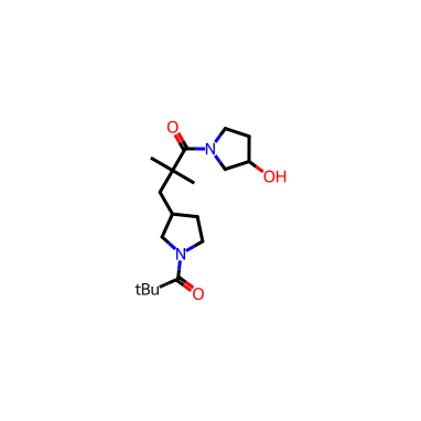 CC(C)(C)C(=O)N1CCC(CC(C)(C)C(=O)N2CCC(O)C2)C1